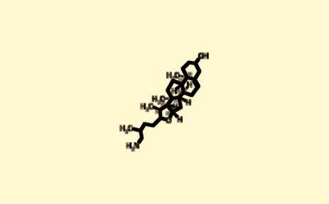 CC(CN)CCC1O[C@H]2C[C@H]3[C@@H]4CC=C5CC(O)CC[C@]5(C)[C@H]4CC[C@]3(C)[C@H]2[C@@H]1C